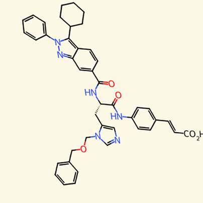 O=C(O)C=Cc1ccc(NC(=O)[C@H](Cc2cncn2COCc2ccccc2)NC(=O)c2ccc3c(C4CCCCC4)n(-c4ccccc4)nc3c2)cc1